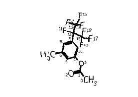 CC(=O)Oc1[c]c(C)cc(C(F)(C(F)(F)F)C(F)(F)F)c1